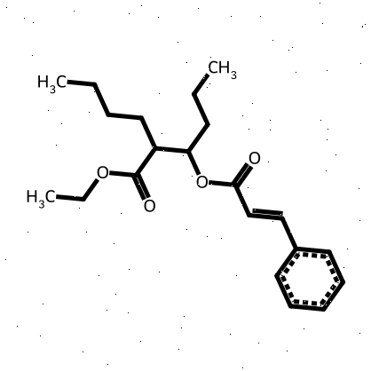 CCCCC(C(=O)OCC)C(CCC)OC(=O)C=Cc1ccccc1